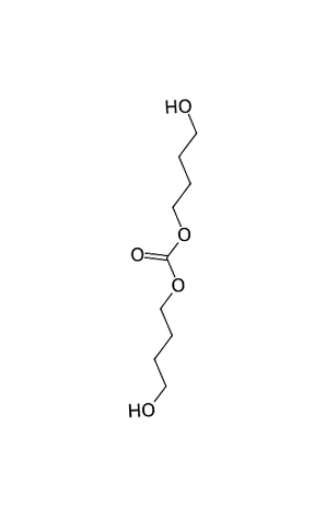 O=C(OCCCCO)OCCCCO